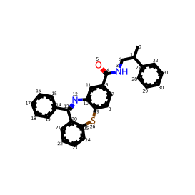 CC(CNC(=O)c1ccc2c(c1)N=C(c1ccccc1)c1ccccc1S2)c1ccccc1